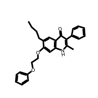 CCCCc1cc2c(=O)c(-c3ccccc3)c(C)[nH]c2cc1OCCOc1ccccc1